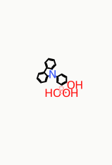 OB(O)c1cc(-n2c3ccccc3c3ccccc32)ccc1O